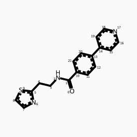 O=C(NCCc1nccs1)c1ccc(-c2ccncc2)cc1